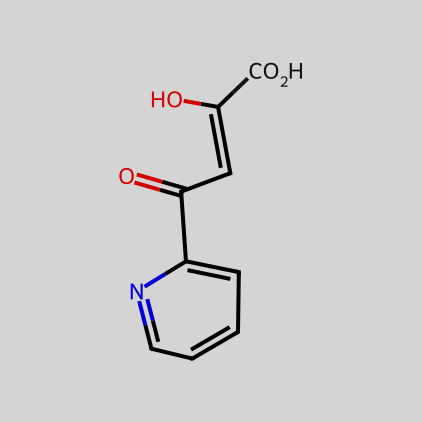 O=C(O)C(O)=CC(=O)c1ccccn1